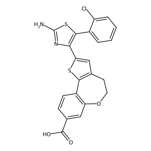 Nc1nc(-c2cc3c(s2)-c2ccc(C(=O)O)cc2OCC3)c(-c2ccccc2Cl)s1